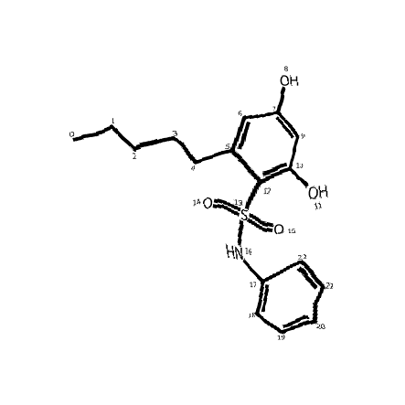 CCCCCc1cc(O)cc(O)c1S(=O)(=O)Nc1ccccc1